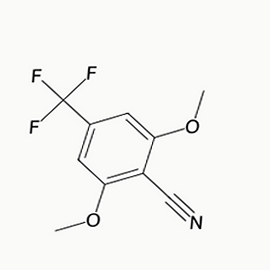 COc1cc(C(F)(F)F)cc(OC)c1C#N